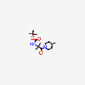 CC1CCN(C(=O)C(C)(C)NC(=O)OC(C)(C)C)CC1